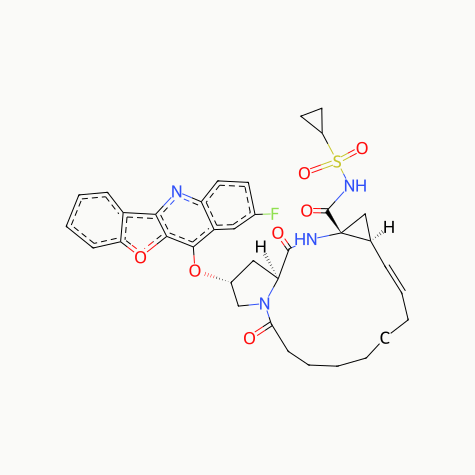 O=C1N[C@]2(C(=O)NS(=O)(=O)C3CC3)C[C@H]2/C=C\CCCCCCC(=O)N2C[C@H](Oc3c4cc(F)ccc4nc4c3oc3ccccc34)C[C@@H]12